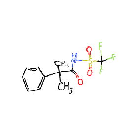 CC(C)(C(=O)NS(=O)(=O)C(F)(F)F)c1ccccc1